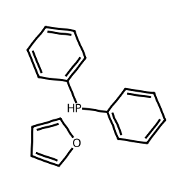 c1ccc(Pc2ccccc2)cc1.c1ccoc1